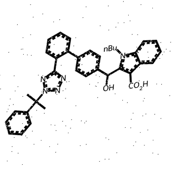 CCCCn1c(C(O)c2ccc(-c3ccccc3-c3nnn(C(C)(C)c4ccccc4)n3)cc2)c(C(=O)O)c2ccccc21